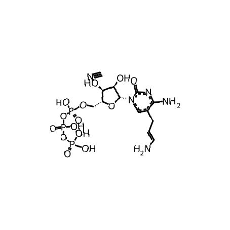 C#N.NC=CCc1cn([C@@H]2O[C@H](COP(=O)(O)OP(=O)(O)OP(=O)(O)O)[C@@H](O)[C@H]2O)c(=O)nc1N